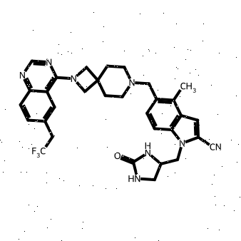 Cc1c(CN2CCC3(CC2)CN(c2ncnc4ccc(CC(F)(F)F)cc24)C3)ccc2c1cc(C#N)n2CC1CNC(=O)N1